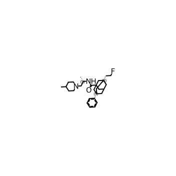 CC1CCN(C[C@H](C)NC(=O)C23CC4C[C@](CCF)(C2)C[C@@](c2ccccc2)(C4)C3)CC1